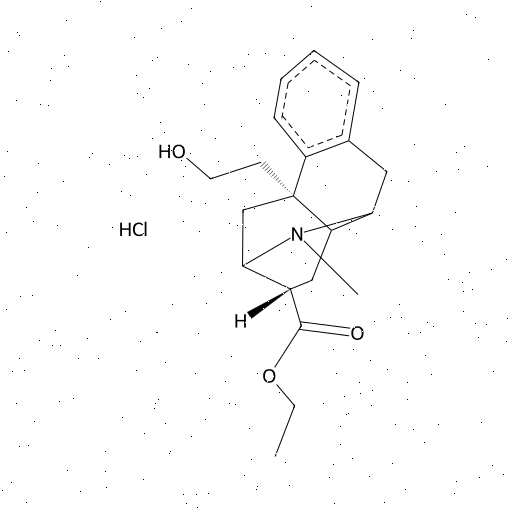 CCOC(=O)[C@H]1CC2C3Cc4ccccc4[C@]2(CCO)CC1N3C.Cl